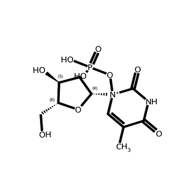 CC1=C[N+](OP(=O)(O)O)([C@H]2C[C@H](O)[C@@H](CO)O2)C(=O)NC1=O